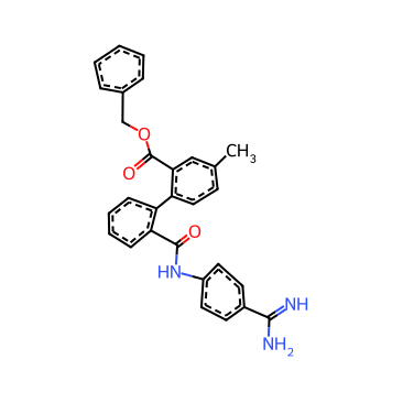 Cc1ccc(-c2ccccc2C(=O)Nc2ccc(C(=N)N)cc2)c(C(=O)OCc2ccccc2)c1